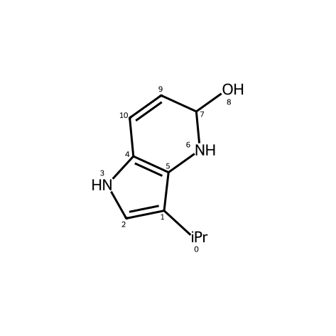 CC(C)c1c[nH]c2c1NC(O)C=C2